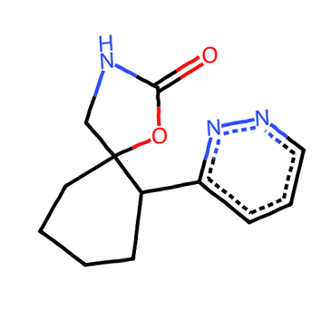 O=C1NCC2(CCCCC2c2cccnn2)O1